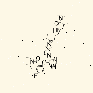 CCN(C(=O)c1cc(F)ccc1Oc1nncnc1N1CCC2(C1)CN([C@H](CCCNCC(C)C(=O)N(C)C)C(C)C)C2)C(C)C